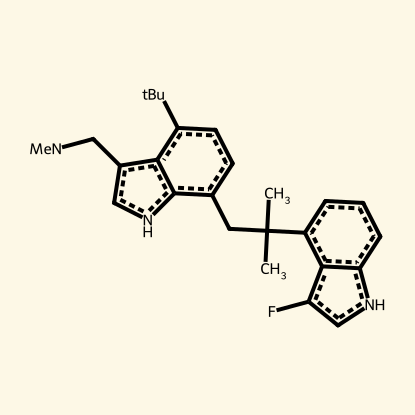 CNCc1c[nH]c2c(CC(C)(C)c3cccc4[nH]cc(F)c34)ccc(C(C)(C)C)c12